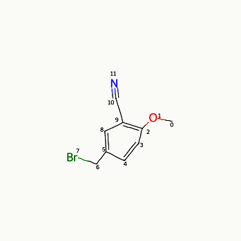 COc1ccc(CBr)cc1C#N